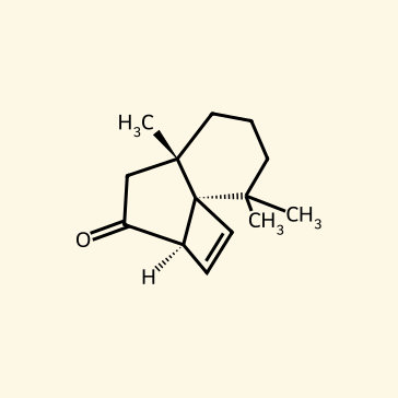 CC1(C)CCC[C@@]2(C)CC(=O)[C@@H]3C=C[C@]312